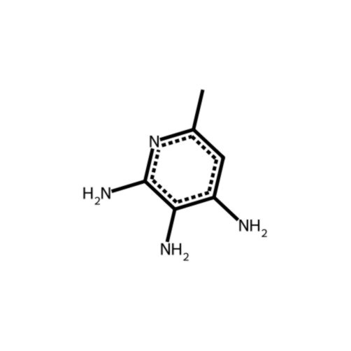 Cc1cc(N)c(N)c(N)n1